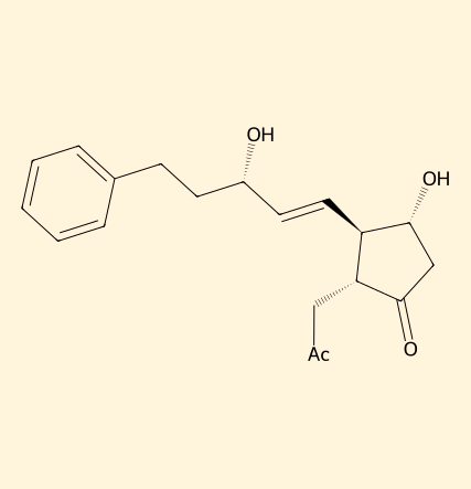 CC(=O)C[C@H]1C(=O)C[C@@H](O)[C@@H]1/C=C/[C@@H](O)CCc1ccccc1